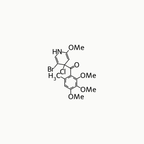 COC1=CC(Cl)(C(=O)c2c(C)cc(OC)c(OC)c2OC)C(Br)=CN1